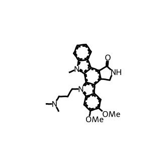 COc1cc2c3c4c(c5c6ccccc6n(C)c5c3n(CCCN(C)C)c2cc1OC)C(=O)NC4